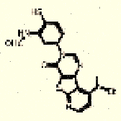 CCNc1ccnc2sc3c(=O)n(-c4ccc(S)c(NC=O)c4)cnc3c12